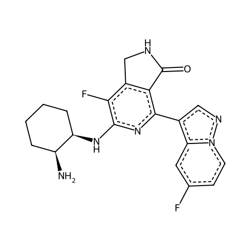 N[C@H]1CCCC[C@H]1Nc1nc(-c2cnn3ccc(F)cc23)c2c(c1F)CNC2=O